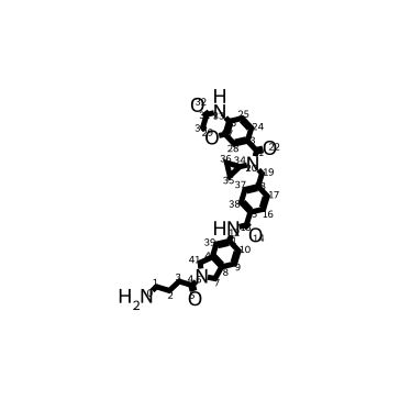 NCCCC(=O)N1Cc2ccc(NC(=O)c3ccc(CN(C(=O)c4ccc5c(c4)OCC(=O)N5)C4CC4)cc3)cc2C1